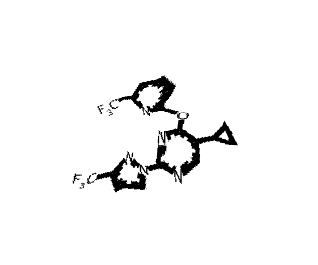 FC(F)(F)c1cccc(Oc2nc(-n3ccc(C(F)(F)F)n3)ncc2C2CC2)n1